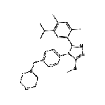 CSc1nnc(-c2cc(C(C)C)c(C)cc2C)n1-c1ccc(CN2CCOCC2)cc1